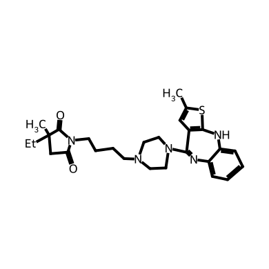 CCC1(C)CC(=O)N(CCCCN2CCN(C3=Nc4ccccc4Nc4sc(C)cc43)CC2)C1=O